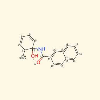 CCC1C=CC=CC1(O)NC(=O)c1ccc2ccccc2c1